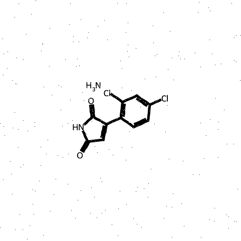 N.O=C1C=C(c2ccc(Cl)cc2Cl)C(=O)N1